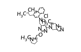 CC(C)Cc1cc(N2CCc3c(nc(OC[C@H]4CCCN4C)nc3N3Cc4cncn4C[C@H]3C)C2)c2c(Cl)cccc2c1